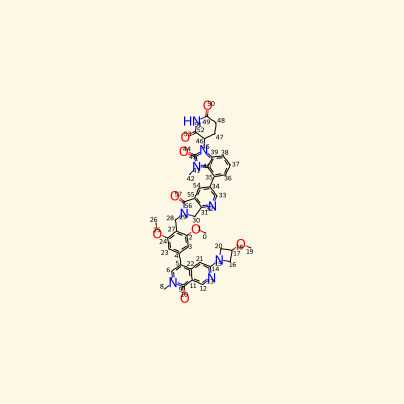 COc1cc(-c2cn(C)c(=O)c3cnc(N4CC(OC)C4)cc23)cc(OC)c1CN1Cc2ncc(-c3cccc4c3n(C)c(=O)n4C3CCC(=O)NC3=O)cc2C1=O